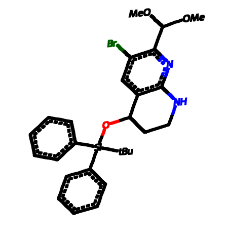 COC(OC)c1nc2c(cc1Br)C(O[Si](c1ccccc1)(c1ccccc1)C(C)(C)C)CCN2